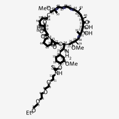 CCOCCOCCOCCOCCNC(=S)O[C@@H]1CC[C@@H](C[C@@H](N)[C@@H]2C[C@@H](OC)[C@H](C)/C=C(\C)[C@@H](O)[C@@H](O)C(=O)[C@H](C)C[C@H](C)/C=C/C=C/C=C(\C)[C@@H](OC)C[C@@H]3CC[C@@H](C)[C@@](O)(O3)C(=O)C(=O)N3CCCC[C@H]3C(=O)O2)C[C@H]1OC